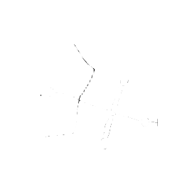 CCC(O)(CC)S(=O)(=O)O